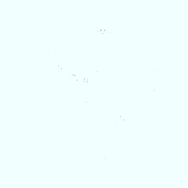 COCCOC(=O)N1C2CCC1CC(N1CCC3(CC1)CN(C(=O)C1CC1)Cc1ccccc13)C2